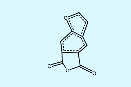 O=C1OC(=O)c2cc3occc3cc21